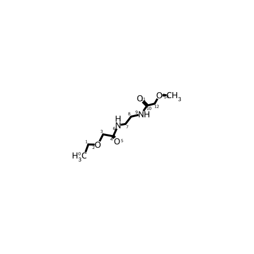 CCOCC(=O)NCCNC(=O)COC